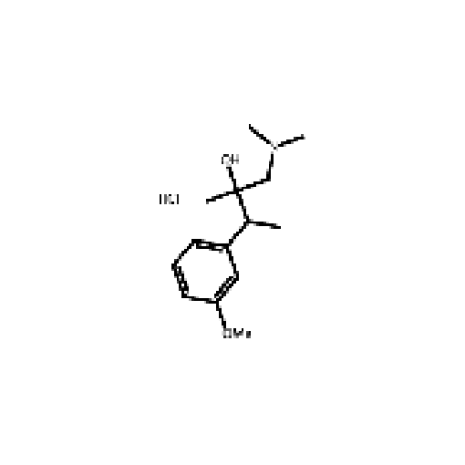 COc1cccc(C(C)C(C)(O)CN(C)C)c1.Cl